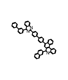 c1ccc(-c2cccc(-c3nc(-c4ccc(-c5ccc(-c6cc7c(-c8ccc9ccccc9c8)nc8ccccc8c7c7ccccc67)cc5)cc4)nc4ccccc34)c2)cc1